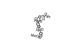 COC(=O)c1cc(NC(=O)c2cc3cc(NC(=O)c4cc(CNC(=O)C(C)C)ccc4Cl)ccc3n2C)ccc1F